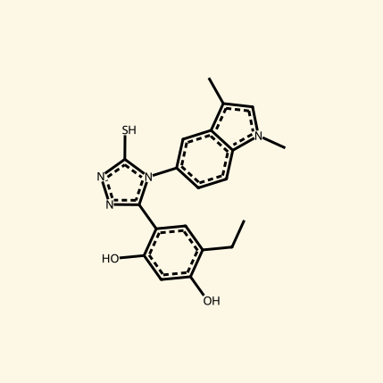 CCc1cc(-c2nnc(S)n2-c2ccc3c(c2)c(C)cn3C)c(O)cc1O